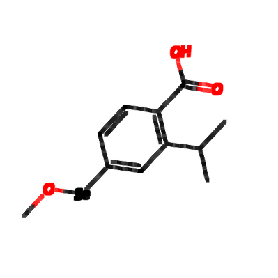 CO[Se]c1ccc(C(=O)O)c(C(C)C)c1